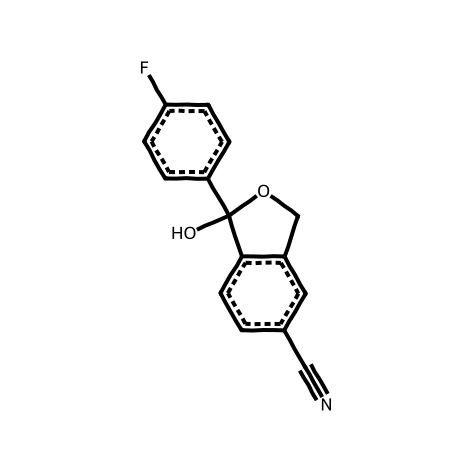 N#Cc1ccc2c(c1)COC2(O)c1ccc(F)cc1